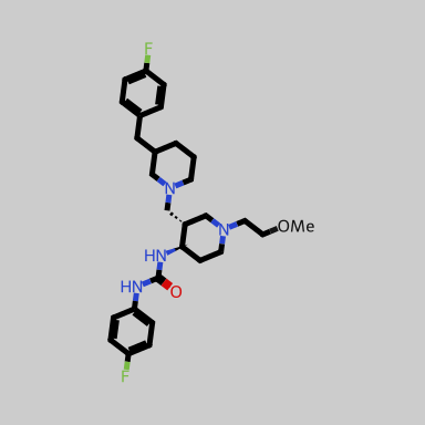 COCCN1CC[C@@H](NC(=O)Nc2ccc(F)cc2)[C@H](CN2CCCC(Cc3ccc(F)cc3)C2)C1